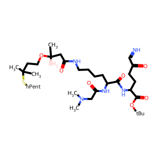 BC(C)(CC(=O)NCCCCC(NC(=O)CN(C)C)C(=O)NC(CCC(=O)C=N)C(=O)OC(C)(C)C)OCCC(C)(C)SCCCCC